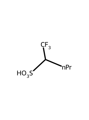 CCCC(C(F)(F)F)S(=O)(=O)O